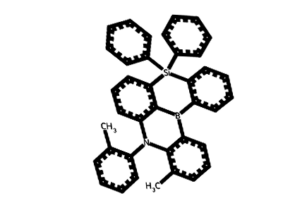 Cc1ccccc1N1c2cccc3c2B(c2ccccc2[Si]3(c2ccccc2)c2ccccc2)c2cccc(C)c21